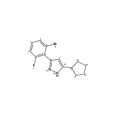 Fc1cccc(Br)c1-c1cc(C2CCCC2)[nH]n1